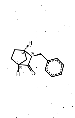 O=C1[C@@H]2CC[C@@H](C2)[C@H]1Cc1ccccc1